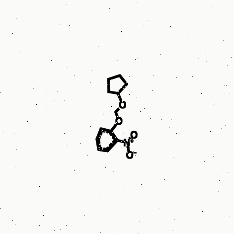 O=[N+]([O-])c1ccccc1OCOC1CCCC1